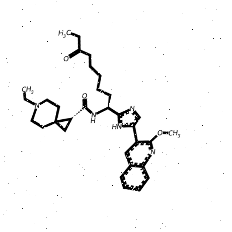 CCC(=O)CCCCC[C@H](NC(=O)[C@@H]1CC12CCN(CC)CC2)c1ncc(-c2cc3ccccc3nc2OC)[nH]1